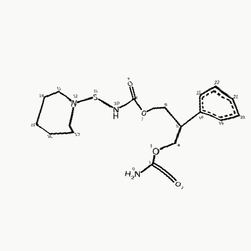 NC(=O)OCC(COC(=O)NSN1CCCCC1)c1ccccc1